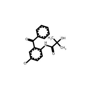 CC(C)(O)C(=O)Nc1ccc(Cl)cc1C(=O)c1ccccc1